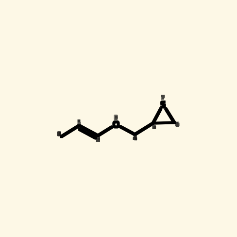 CC=COCC1CS1